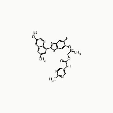 CCOc1cnc2c(-c3nc4cc(F)c(O[C@@H](C)COC(=O)Nc5cnc(C)nc5)cc4s3)cc(C)cc2c1